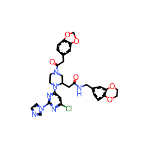 O=C(CC1CN(C(=O)Cc2ccc3c(c2)OCO3)CCN1c1cc(Cl)nc(-n2ccnc2)n1)NCc1ccc2c(c1)OCCO2